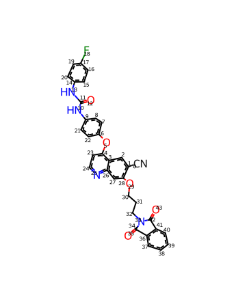 N#Cc1cc2c(Oc3ccc(NC(=O)Nc4ccc(F)cc4)cc3)ccnc2cc1OCCCN1C(=O)c2ccccc2C1=O